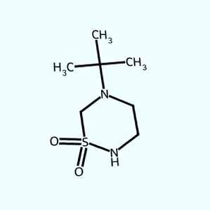 CC(C)(C)N1CCNS(=O)(=O)C1